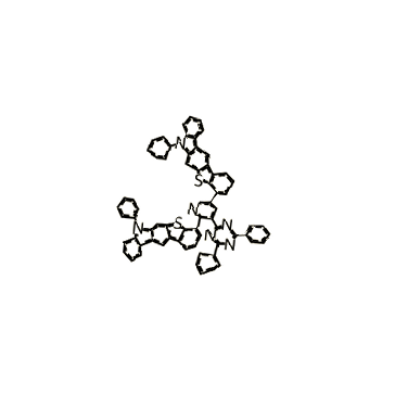 c1ccc(-c2nc(-c3ccccc3)nc(-c3cc(-c4cccc5c4sc4cc6c(cc45)c4ccccc4n6-c4ccccc4)cnc3-c3cccc4c3sc3cc5c(cc34)c3ccccc3n5-c3ccccc3)n2)cc1